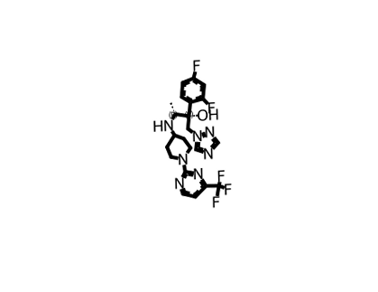 C[C@@H](NC1CCN(c2nccc(C(F)(F)F)n2)CC1)[C@](O)(Cn1cncn1)c1ccc(F)cc1F